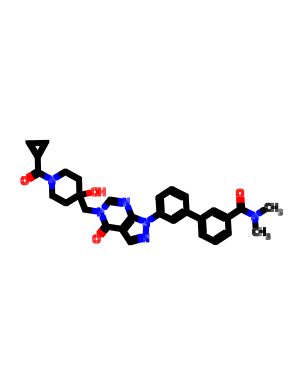 CN(C)C(=O)c1cccc(-c2cccc(-n3ncc4c(=O)n(CC5(O)CCN(C(=O)C6CC6)CC5)cnc43)c2)c1